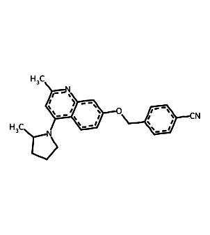 Cc1cc(N2CCCC2C)c2ccc(OCc3ccc(C#N)cc3)cc2n1